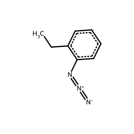 CCc1c[c]ccc1N=[N+]=[N-]